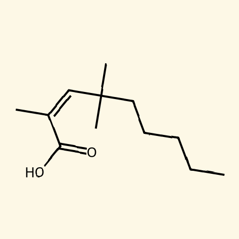 CCCCCC(C)(C)C=C(C)C(=O)O